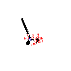 CCCCCCCCCCCCCCCCOCC(O)CN(Cc1ccccc1)CC(O)COC1O[C@H](CO)[C@@H](O)[C@H](O)[C@H]1O